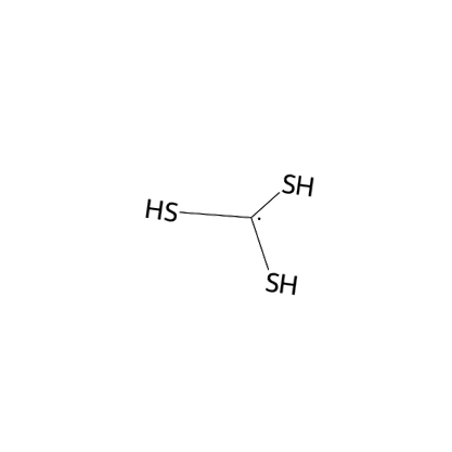 S[C](S)S